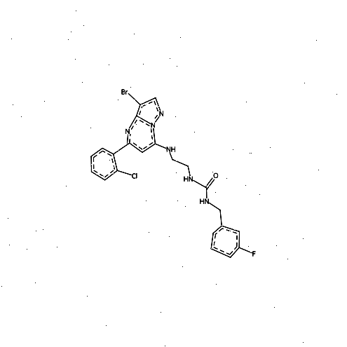 O=C(NCCNc1cc(-c2ccccc2Cl)nc2c(Br)cnn12)NCc1cccc(F)c1